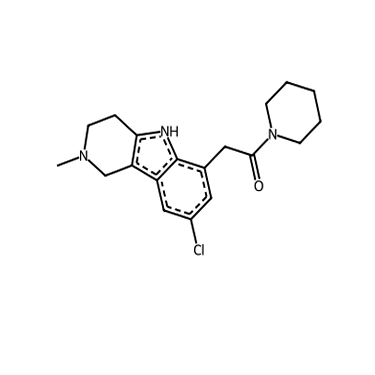 CN1CCc2[nH]c3c(CC(=O)N4CCCCC4)cc(Cl)cc3c2C1